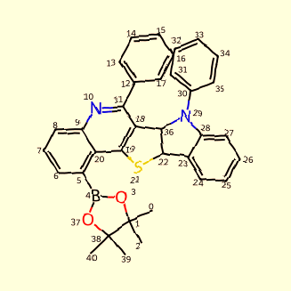 CC1(C)OB(c2cccc3nc(-c4ccccc4)c4c(c23)SC2c3ccccc3N(c3ccccc3)C42)OC1(C)C